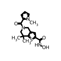 Cn1cccc1C(=O)N1Cc2cc(C(=O)NO)sc2C(C)(C)C1